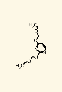 C=COCOc1ccnc(OCOC=C)n1